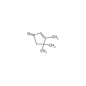 CC1=CC(=O)CC1(C)C